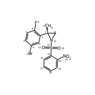 C[C@@]1(c2cc(Br)ccc2F)CN1S(=O)(=O)c1ccccc1[N+](=O)[O-]